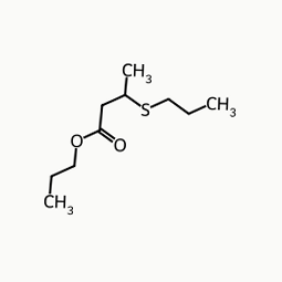 CCCOC(=O)CC(C)SCCC